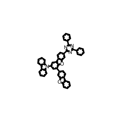 c1ccc(-c2nc(-c3ccccc3)nc(-c3ccc4c(c3)oc3c(-c5ccc6c(c5)oc5ccccc56)cc(-n5c6ccccc6c6ccccc65)cc34)n2)cc1